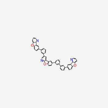 c1cc(-c2cccc(-c3ccc4oc5cccnc5c4c3)c2)cc(-c2ccc3oc4ncc(-c5cccc(-c6ccc7oc8cccnc8c7c6)c5)cc4c3c2)c1